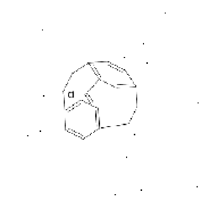 C=C(Cl)c1cc2ccc1CCc1ccc(cc1)CC2